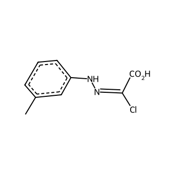 Cc1cccc(N/N=C(/Cl)C(=O)O)c1